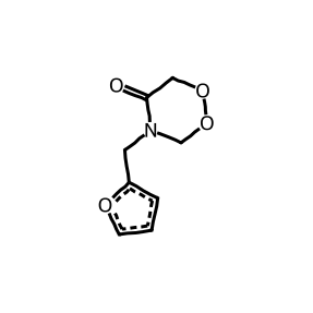 O=C1COOCN1Cc1ccco1